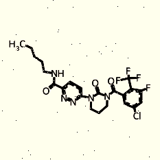 CCCCCNC(=O)c1ccc(N2CCCN(C(=O)c3cc(Cl)cc(F)c3C(F)(F)F)C2=O)nn1